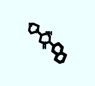 [c]1ccc2cc(C3CNC(N4CC[N]CC4)CN3)ccc2c1